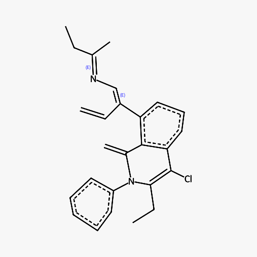 C=C/C(=C\N=C(/C)CC)c1cccc2c1C(=C)N(c1ccccc1)C(CC)=C2Cl